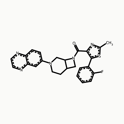 Cc1nc(C(=O)N2CC3CCN(c4ccc5nccnc5c4)CC32)c(-c2ccccc2F)s1